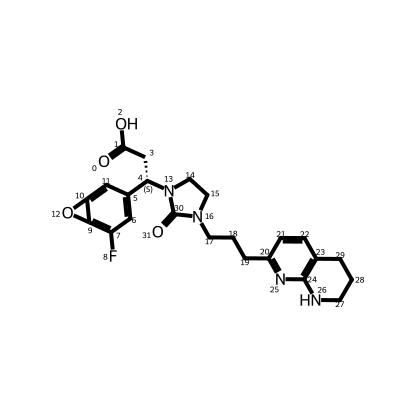 O=C(O)C[C@@H](c1cc(F)c2c(c1)O2)N1CCN(CCCc2ccc3c(n2)NCCC3)C1=O